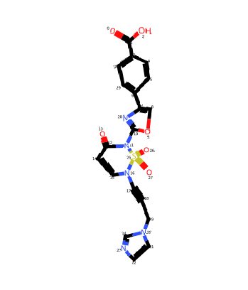 O=C(O)c1ccc(-c2coc(N3C(=O)C=CN(C#CCn4ccnc4)S3(=O)=O)n2)cc1